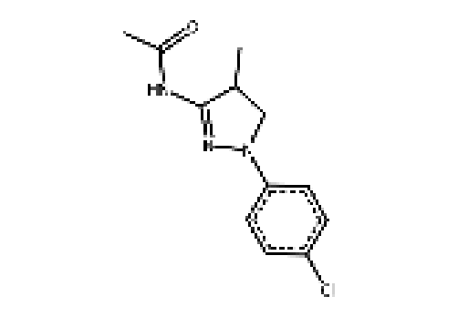 CC(=O)NC1=NN(c2ccc(Cl)cc2)CC1C